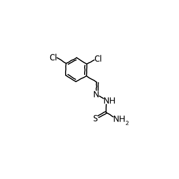 NC(=S)N/N=C/c1ccc(Cl)cc1Cl